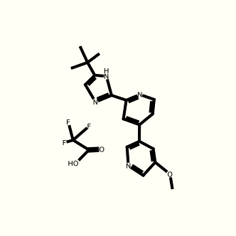 COc1cncc(-c2ccnc(-c3ncc(C(C)(C)C)[nH]3)c2)c1.O=C(O)C(F)(F)F